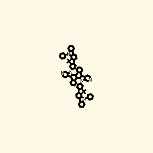 CC1(C)c2cc(-n3c4cnccc4c4c5ccccc5c5c(c6ccccc6c6c7ccncc7n(-c7ccc8c(c7)C(C)(C)c7c-8ccc8c9ccccc9n(-c9ccccc9)c78)c65)c43)ccc2-c2ccc3c4ccccc4n(-c4ccccc4)c3c21